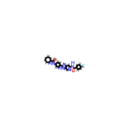 O=C(Nc1cc2nc(-c3ccc(NC(=O)C4CCCCCC4)cc3)[nH]c2cn1)c1ccc(F)cc1